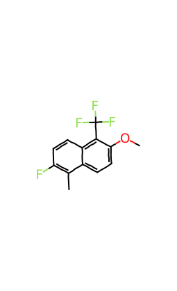 COc1ccc2c(C)c(F)ccc2c1C(F)(F)F